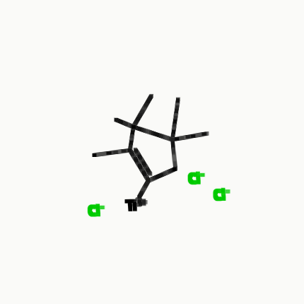 CC1=[C]([Ti+3])CC(C)(C)C1(C)C.[Cl-].[Cl-].[Cl-]